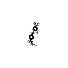 NOC(=O)C1CCC(C(=O)Nc2ccc([N+](=O)[O-])cc2)CC1